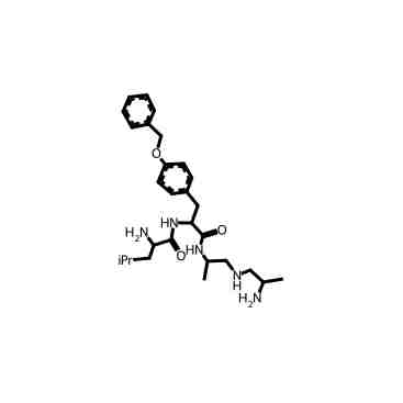 CC(C)CC(N)C(=O)NC(Cc1ccc(OCc2ccccc2)cc1)C(=O)NC(C)CNCC(C)N